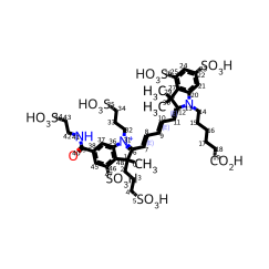 CC1(CCCS(=O)(=O)O)C(/C=C/C=C/C=C2/N(CCCCCC(=O)O)c3cc(S(=O)(=O)O)cc(S(=O)(=O)O)c3C2(C)C)=[N+](CCCS(=O)(=O)O)c2cc(C(=O)NCCS(=O)(=O)O)cc(S(=O)(=O)O)c21